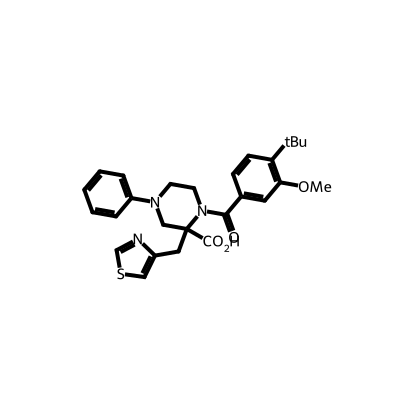 COc1cc(C(=O)N2CCN(c3ccccc3)CC2(Cc2cscn2)C(=O)O)ccc1C(C)(C)C